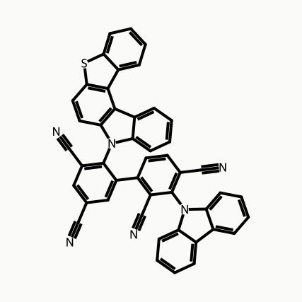 N#Cc1cc(C#N)c(-n2c3ccccc3c3c4c(ccc32)sc2ccccc24)c(-c2ccc(C#N)c(-n3c4ccccc4c4ccccc43)c2C#N)c1